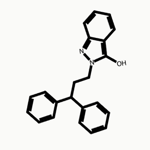 Oc1c2ccccc2nn1CCC(c1ccccc1)c1ccccc1